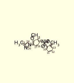 COc1cc(NS(=O)(=O)c2ccccc2C)ccc1-n1cnc(C)c1